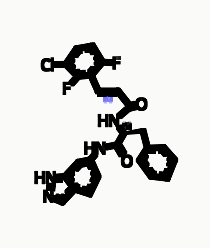 O=C(/C=C/c1c(F)ccc(Cl)c1F)N[C@@H](Cc1ccccc1)C(=O)Nc1ccc2cn[nH]c2c1